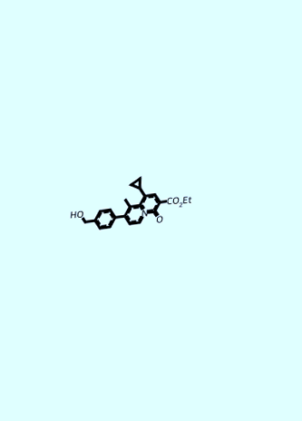 CCOC(=O)c1cc(C2CC2)c2c(C)c(-c3ccc(CO)cc3)ccn2c1=O